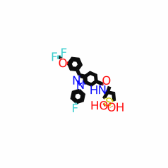 CC1(NC(=O)C2CCc3c(-c4cccc(OC(F)F)c4)nn(-c4ccc(F)cc4)c3C2)CCS(O)(O)C1